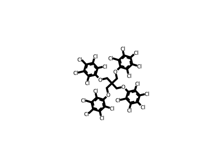 Clc1c(Cl)c(Cl)c(OCC(COc2c(Cl)c(Cl)c(Cl)c(Cl)c2Cl)(COc2c(Cl)c(Cl)c(Cl)c(Cl)c2Cl)COc2c(Cl)c(Cl)c(Cl)c(Cl)c2Cl)c(Cl)c1Cl